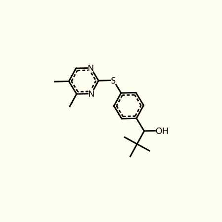 Cc1cnc(Sc2ccc(C(O)C(C)(C)C)cc2)nc1C